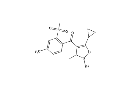 CC1C(C(=O)c2ccc(C(F)(F)F)cc2S(C)(=O)=O)=C(C2CC2)ON1S